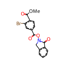 COC(=O)c1ccc(C(=O)ON2Cc3ccccc3C2=O)cc1Br